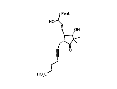 CCCCC[C@H](O)/C=C/[C@@H]1[C@@H](CC#CCCCC(=O)O)C(=O)C(C)(C)[C@H]1O